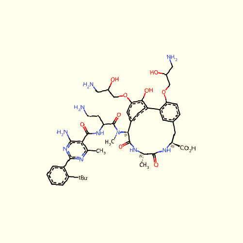 Cc1nc(-c2ccccc2C(C)(C)C)nc(N)c1C(=O)NC(CCN)C(=O)N(C)[C@@H]1C(=O)N[C@@H](C)C(=O)N[C@H](C(=O)O)Cc2ccc(OCC(O)CN)c(c2)-c2cc1cc(OCC(O)CN)c2O